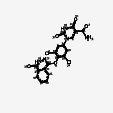 NC(=O)c1cn(-c2cc(Cl)c(Oc3n[nH]c(=O)c4ccccc34)c(Cl)c2)c(=O)[nH]c1=O